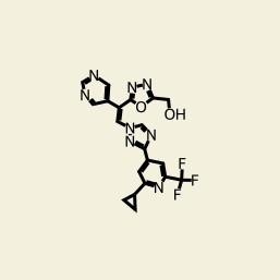 OCc1nnc(C(=Cn2cnc(-c3cc(C4CC4)nc(C(F)(F)F)c3)n2)c2cncnc2)o1